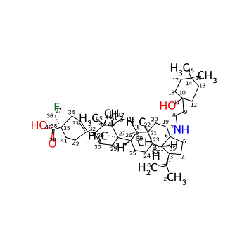 C=C(C)[C@@H]1CC[C@]2(NCCC3(O)CCC(C)(C)CC3)CC[C@]3(C)[C@H](CC[C@@H]4[C@@]5(C)CC=C(C6=CC[C@](CF)(C(=O)O)CC6)C(C)(C)[C@@H]5CC[C@]43C)[C@@H]12